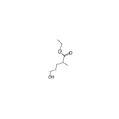 CCOC(=O)C(C)CC[CH]O